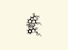 CCOC(=O)C(CCN[C@@H](C)C(=O)N1C(C(=O)O)CC2CCN(S(C)(=O)=O)CC21)c1ccccc1